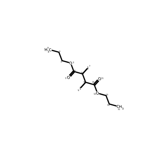 CCCOC(=O)C(I)C(I)C(=O)OCCC